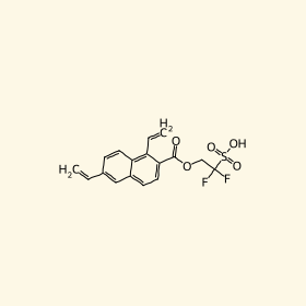 C=Cc1ccc2c(C=C)c(C(=O)OCC(F)(F)S(=O)(=O)O)ccc2c1